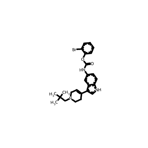 CC(C)(C)CN1CC=C(c2c[nH]c3ccc(NC(=O)Oc4ccccc4Br)cc23)CC1